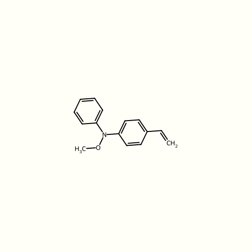 C=Cc1ccc(N(OC)c2ccccc2)cc1